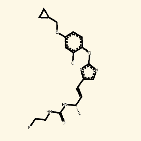 C[C@@H](/C=C/c1cnc(Oc2ccc(OCC3CC3)cc2Cl)s1)NC(=O)NCCF